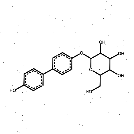 OCC1OC(Oc2ccc(-c3ccc(O)cc3)cc2)C(O)C(O)C1O